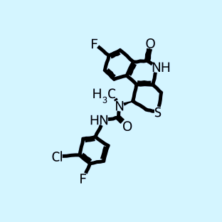 CN(C(=O)Nc1ccc(F)c(Cl)c1)[C@@H]1CSCc2[nH]c(=O)c3cc(F)ccc3c21